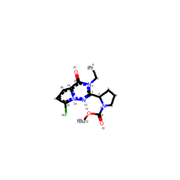 CC(C)Cn1c(C2CCCN2C(=O)OC(C)(C)C)nn2c(F)ccc2c1=O